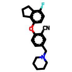 N#Cc1cc(CN2CCCCC2)ccc1Oc1ccc(F)c2c1CCC2